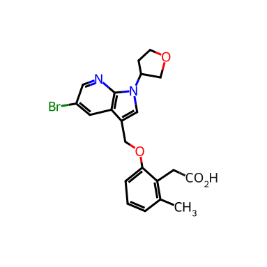 Cc1cccc(OCc2cn(C3CCOC3)c3ncc(Br)cc23)c1CC(=O)O